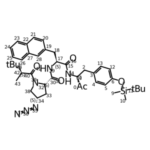 CC(=O)[C@H](Cc1ccc(O[Si](C)(C)C(C)(C)C)cc1)NC(=O)[C@H](Cc1ccc2ccccc2c1)NC(=O)[C@@H]1C[C@H](N=[N+]=[N-])CN1C(=O)[C@@H](C)C(C)(C)C